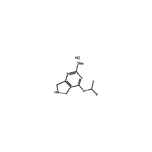 COc1nc2c(c(OC(F)F)n1)CNC2.Cl